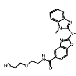 Cn1c(Nc2nc3cc(C(=O)NCCOCCO)ccc3o2)nc2ccccc21